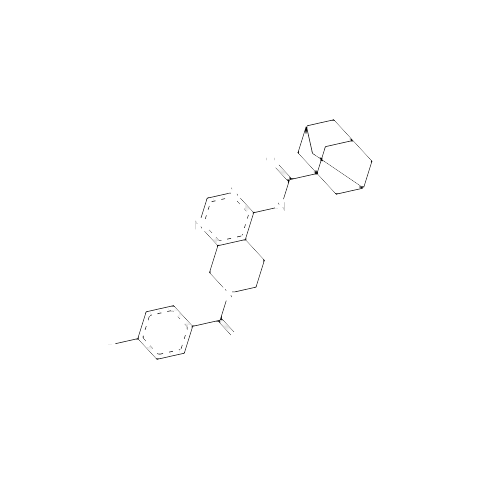 O=C(c1ccc(F)cc1)N1CCc2c(ncnc2NC(=O)C23CC4CC(CC(C4)C2)C3)C1